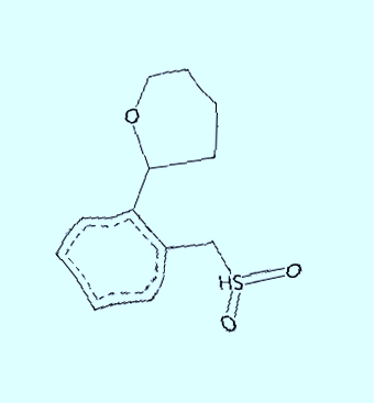 O=[SH](=O)Cc1ccccc1C1CCCCO1